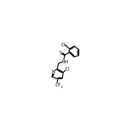 FC(F)(F)c1cnc(CNC(=S)c2ccccc2Cl)c(Cl)c1